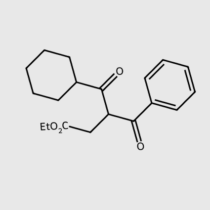 CCOC(=O)CC(C(=O)c1ccccc1)C(=O)C1CCCCC1